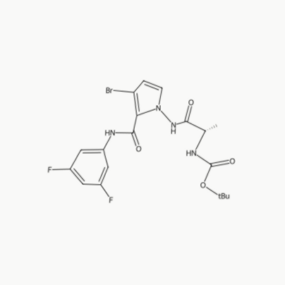 C[C@H](NC(=O)OC(C)(C)C)C(=O)Nn1ccc(Br)c1C(=O)Nc1cc(F)cc(F)c1